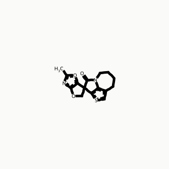 Cc1nc2c(o1)C1(CO2)C(=O)N2CCCCc3csc1c32